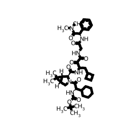 CN(C)C(=O)[C@@H](NC(=O)CNC(=O)C(=O)C(CC1CCC1)NC(=O)[C@@H]1[C@@H]2[C@H](CN1C(=O)[C@@H](NC(=O)OC(C)(C)C)C1CCCCC1)C2(C)C)c1ccccc1